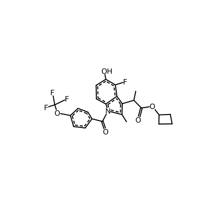 Cc1c(C(C)C(=O)OC2CCC2)c2c(F)c(O)ccc2n1C(=O)c1ccc(OC(F)(F)F)cc1